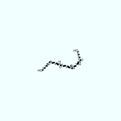 O=C(NCCSCC/N=C\[S+]([O-])CCSCCSC(=O)NCCSCC/N=C\OOCSCSCO)OCSCSCO